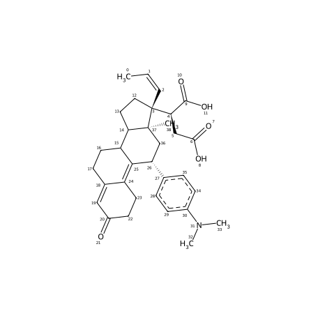 C/C=C\[C@]1([C@H](CC(=O)O)C(=O)O)CCC2C3CCC4=CC(=O)CCC4=C3[C@@H](c3ccc(N(C)C)cc3)C[C@@]21C